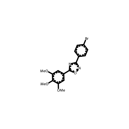 COc1cc(-c2nc(-c3ccc(Br)cc3)no2)cc(OC)c1OC